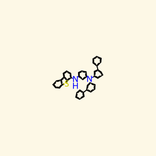 c1ccc(-c2cccc(N(c3cccc(Nc4cccc5c4sc4ccccc45)c3)c3cccc(-c4ccccc4)c3)c2)cc1